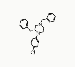 Clc1ccc(N2CCN(Cc3ccccc3)C[C@H]2Cc2ccccc2)cc1